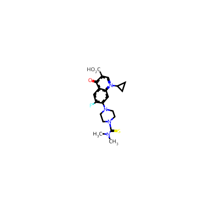 CN(C)C(=S)N1CCN(c2cc3c(cc2F)c(=O)c(C(=O)O)cn3C2CC2)CC1